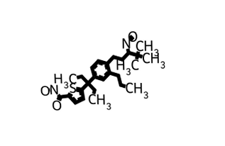 CCCc1cc(C(CC)(CC)c2ccc(C(=O)N=O)s2)ccc1CCC(N=O)C(C)(C)C